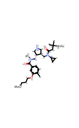 COCCCOc1cc(C(=O)N(C[C@@H]2CNC[C@H]2CN(C(=O)CC(C)(C)NC(C)=O)C2CC2)C(C)C)ccc1C